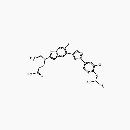 CCC(CCC(=O)O)n1cc2cc(-c3noc(-c4cnc(OC(C)C)c(Cl)c4)n3)c(F)cc2n1